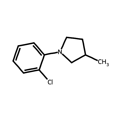 CC1CCN(c2ccccc2Cl)C1